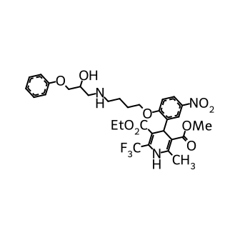 CCOC(=O)C1=C(C(F)(F)F)NC(C)=C(C(=O)OC)C1c1cc([N+](=O)[O-])ccc1OCCCCNCC(O)COc1ccccc1